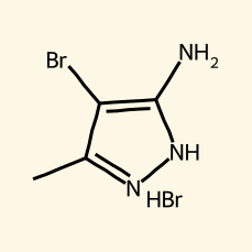 Br.Cc1n[nH]c(N)c1Br